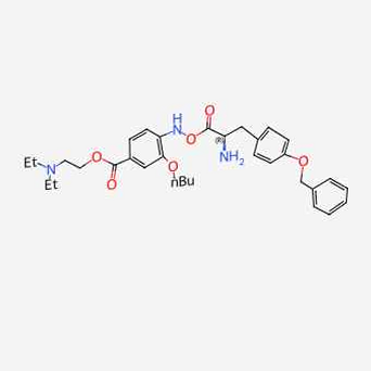 CCCCOc1cc(C(=O)OCCN(CC)CC)ccc1NOC(=O)[C@H](N)Cc1ccc(OCc2ccccc2)cc1